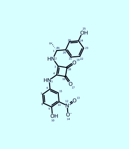 C[C@@H](Nc1c(Nc2ccc(O)c([N+](=O)[O-])c2)c(=O)c1=O)c1cccc(O)c1